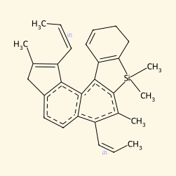 C/C=C\C1=C(C)Cc2ccc3c(/C=C\C)c(C)c4c(c3c21)C1=C(CCC=C1)[Si]4(C)C